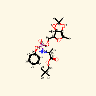 CC1=C2OC(C)(C)O[C@@H]2C(COP(=O)(NC(C)C(=O)OCC(C)(C)C)Oc2ccccc2)O1